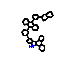 c1cc(-c2ccc3ccccc3c2)cc(-c2c3ccccc3c(-c3cccc(-c4ccc5[nH]c6c7ccccc7c7ccccc7c6c5c4)c3)c3ccccc23)c1